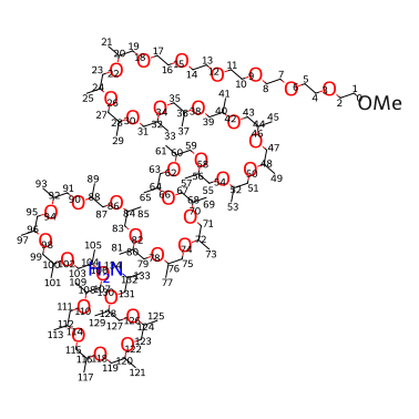 COCCOCCOCCOCCOCCOCCOCC(C)OCC(C)OCC(C)OCC(C)OCC(C)OCC(C)OCC(C)OCC(C)OCC(C)OCC(C)OCC(C)OCC(C)OCC(C)OCC(C)OCC(C)OCC(C)OCC(C)OCC(C)OCC(C)OCC(C)OCC(C)OCC(C)OCC(C)OCC(C)OCC(C)OCC(C)OCC(C)OCC(C)OCC(C)N